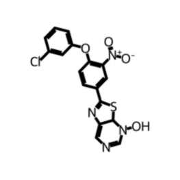 O=[N+]([O-])c1cc(C2=NC3=CN=CN(O)C3S2)ccc1Oc1cccc(Cl)c1